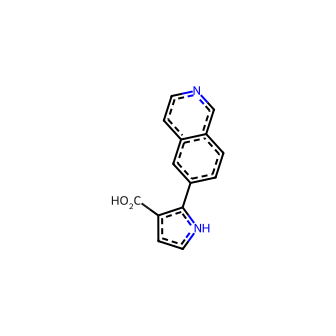 O=C(O)c1cc[nH]c1-c1ccc2cnccc2c1